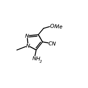 COCc1nn(C)c(N)c1C#N